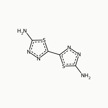 Nc1nnc(-c2nnc(N)s2)s1